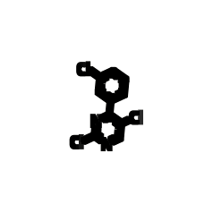 Clc1cccc(-c2nc(Cl)ncc2Cl)c1